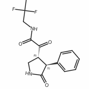 CC(F)(F)CNC(=O)C(=O)[C@H]1CNC(=O)[C@@H]1c1ccccc1